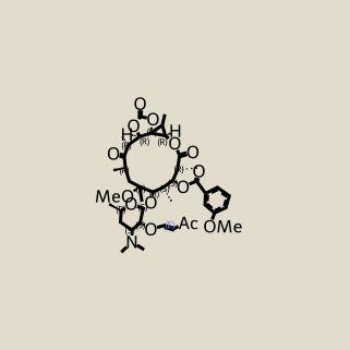 COc1cccc(C(=O)O[C@H]2[C@H](C)[C@@H](O[C@@H]3O[C@H](C)C[C@H](N(C)C)[C@@H]3O/C=C/C(C)=O)[C@@](C)(OC)C[C@@H](C)C(=O)[C@H](C)[C@H]3OC(=O)O[C@@]34C(C)[C@H]4OC(=O)[C@@H]2C)c1